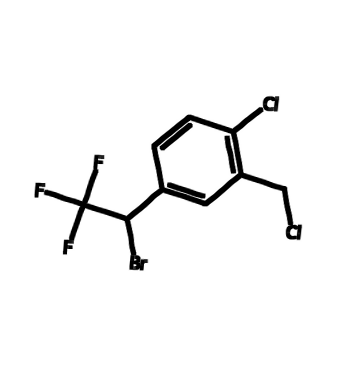 FC(F)(F)C(Br)c1ccc(Cl)c(CCl)c1